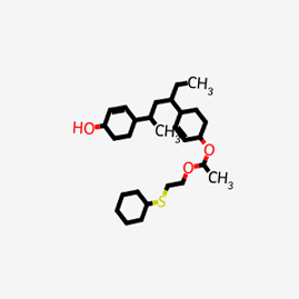 CCC(CC(C)C1C=CC(O)CC1)C1C=CC(OC(C)OCCSC2CCCCC2)CC1